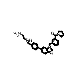 NCCNCc1ccc(-c2ccc3ncn(Cc4cccc(C(=O)N5CCCC5)c4)c3c2)cc1